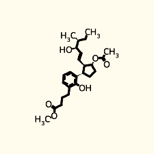 CC[C@@H](C)[C@H](O)/C=C/[C@@H]1[C@@H](c2cccc(CCCC(=O)OC)c2O)CC[C@H]1OC(C)=O